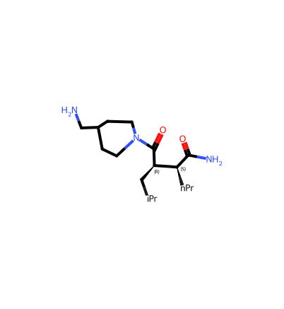 CCC[C@H](C(N)=O)[C@@H](CC(C)C)C(=O)N1CCC(CN)CC1